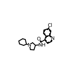 O=C(NC1CCN(C2CCCCC2)C1)c1ccnc2cc(Cl)ccc12